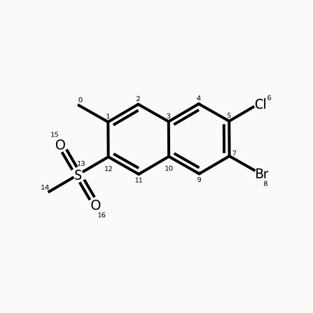 Cc1cc2cc(Cl)c(Br)cc2cc1S(C)(=O)=O